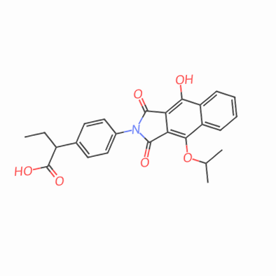 CCC(C(=O)O)c1ccc(N2C(=O)c3c(c(OC(C)C)c4ccccc4c3O)C2=O)cc1